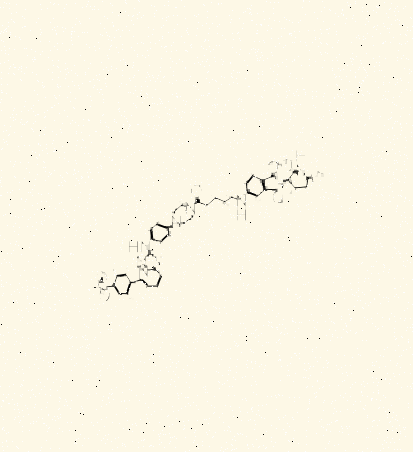 CS(=O)(=O)c1ccc(-c2cccc3nc(Nc4ccc(N5CCN(C(=O)CCCCNc6ccc7c(c6)C(=O)N(C6CCC(=O)NC6=O)C7=O)CC5)cc4)nn23)cc1